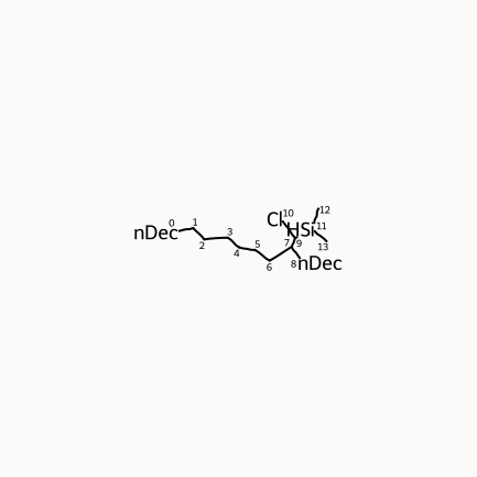 CCCCCCCCCCCCCCCCC(CCCCCCCCCC)C(Cl)[SiH](C)C